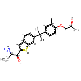 CCC(CC)(c1ccc(OCC(=O)C(C)(C)C)c(C)c1)c1ccc2cc(C(=O)C(N)C(=O)O)sc2c1